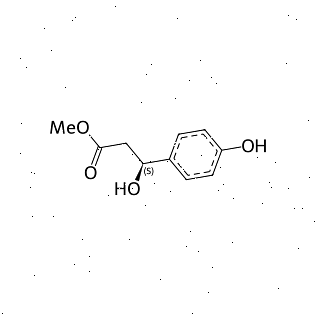 COC(=O)C[C@H](O)c1ccc(O)cc1